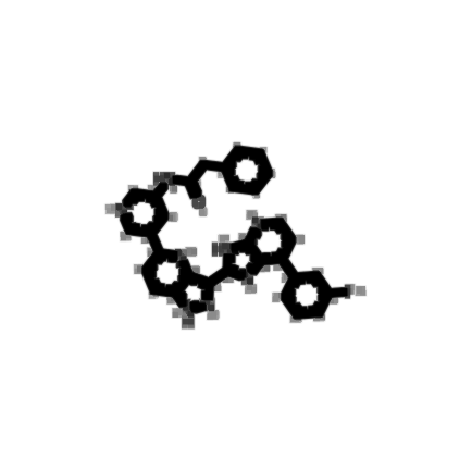 O=C(Cc1ccccc1)Nc1cncc(-c2ccc3[nH]nc(-c4nc5c(-c6cccc(F)c6)ccnc5[nH]4)c3n2)c1